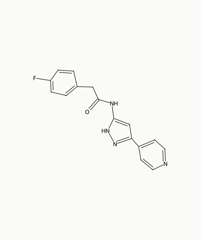 O=C(Cc1ccc(F)cc1)Nc1cc(-c2ccncc2)n[nH]1